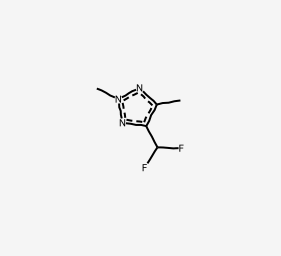 Cc1nn(C)nc1C(F)F